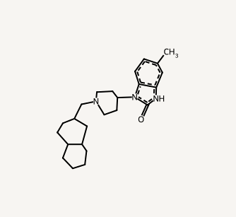 Cc1ccc2c(c1)[nH]c(=O)n2C1CCN(CC2CCC3CCCCC3C2)CC1